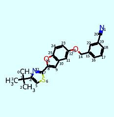 CC(C)(C)c1csc(-c2cc3cc(OCc4cccc(C#N)c4)ccc3o2)n1